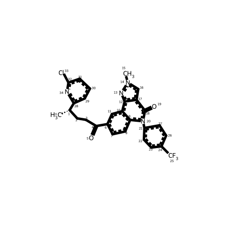 C[C@@H](CCC(=O)c1ccc2c(c1)c1nn(C)cc1c(=O)n2-c1ccc(C(F)(F)F)cc1)c1cccc(Cl)n1